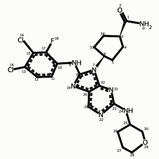 NC(=O)[C@H]1CC[C@@H](n2c(Nc3ccc(Cl)c(Cl)c3F)nc3cnc(NC4CCCOC4)nc32)CC1